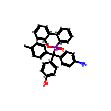 Cc1ccc(C(c2ccc(N)cc2)(c2ccc(O)cc2)P2(=O)Oc3ccccc3-c3ccccc32)cc1